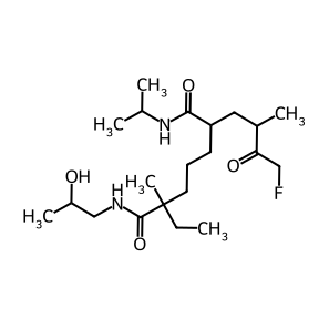 CCC(C)(CCCC(CC(C)C(=O)CF)C(=O)NC(C)C)C(=O)NCC(C)O